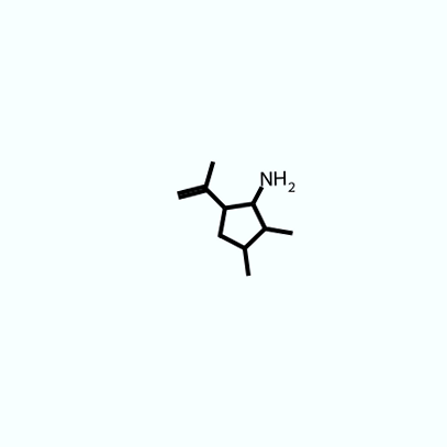 C=C(C)C1CC(C)C(C)C1N